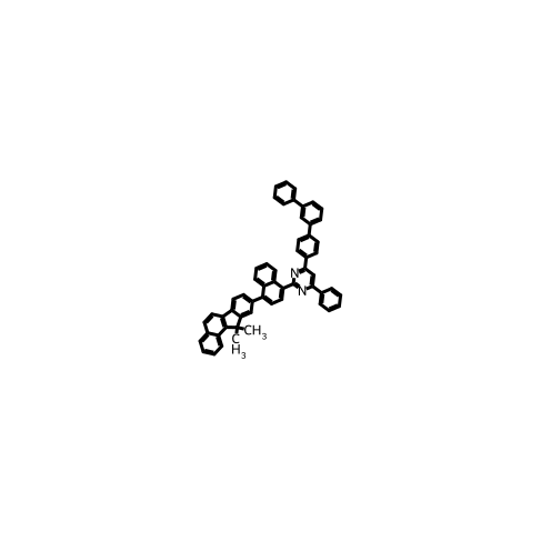 CC1(C)c2cc(-c3ccc(-c4nc(-c5ccccc5)cc(-c5ccc(-c6cccc(-c7ccccc7)c6)cc5)n4)c4ccccc34)ccc2-c2ccc3ccccc3c21